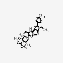 CCC(Nc1ncnc2c1nc(-c1cnc(C)nc1)n2CC)C(=O)N1C[C@@H](C)N(C(C)=O)[C@@H](C)C1